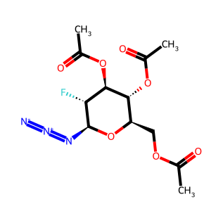 CC(=O)OC[C@H]1O[C@@H](N=[N+]=[N-])[C@H](F)[C@@H](OC(C)=O)[C@@H]1OC(C)=O